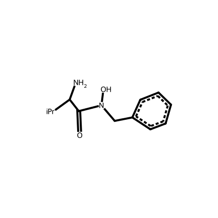 CC(C)C(N)C(=O)N(O)Cc1ccccc1